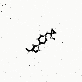 CCc1cnn(C2CCN(CC3(OC)CC3)CC2)c1